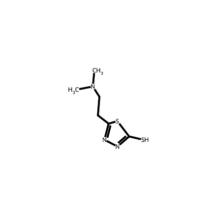 CN(C)CCc1nnc(S)s1